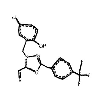 Oc1ccc(Cl)cc1CN1N=C(c2ccc(C(F)(F)F)cc2)OC1C=S